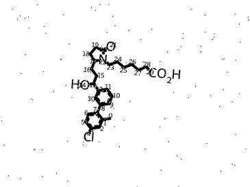 Cc1cc(Cl)ccc1-c1cccc(C(O)CCC2CCC(=O)N2CCCCCCC(=O)O)c1